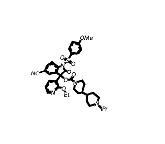 CCOc1ncccc1C1(OC(=O)N2CCC(C3CCN(C(C)C)CC3)CC2)C(=O)N(S(=O)(=O)c2ccc(OC)cc2)c2ccc(C#N)cc21